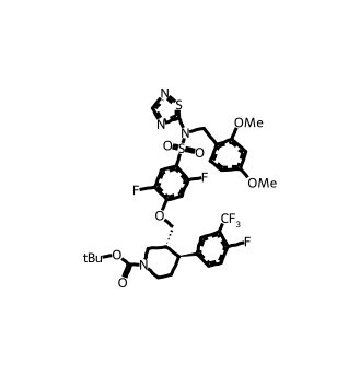 COc1ccc(CN(c2ncns2)S(=O)(=O)c2cc(F)c(OC[C@H]3CN(C(=O)OC(C)(C)C)CC[C@@H]3c3ccc(F)c(C(F)(F)F)c3)cc2F)c(OC)c1